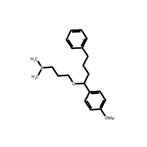 COc1ccc(C(CCCc2ccccc2)OCCCN(C)C)cc1